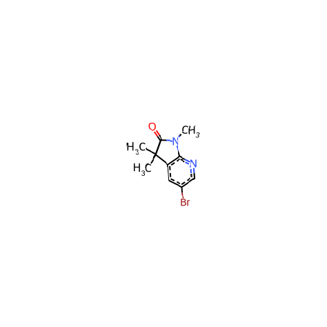 CN1C(=O)C(C)(C)c2cc(Br)cnc21